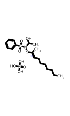 CCCCCCC/C=C(\C)SN(C(C)O)S(=O)(=O)c1ccccc1.O=P(O)(O)O